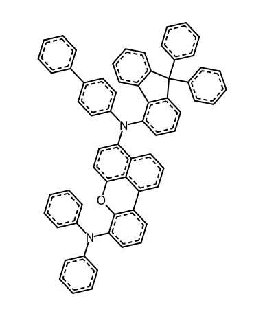 c1ccc(-c2ccc(N(c3cccc4c3-c3ccccc3C4(c3ccccc3)c3ccccc3)c3ccc4c5c(cccc35)-c3cccc(N(c5ccccc5)c5ccccc5)c3O4)cc2)cc1